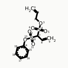 C=CCOS(=O)(=O)C(C=C)S(=O)(=O)Oc1ccccc1